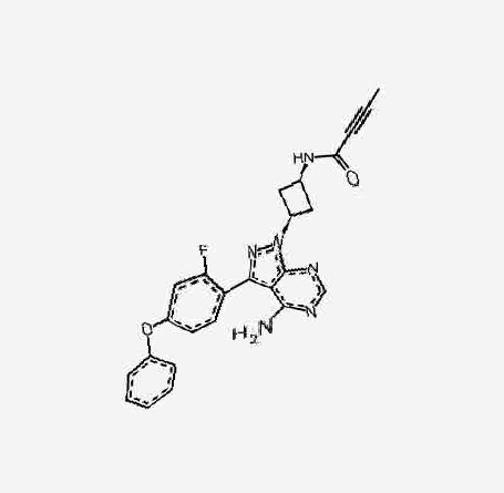 CC#CC(=O)N[C@H]1C[C@@H](n2nc(-c3ccc(Oc4ccccc4)cc3F)c3c(N)ncnc32)C1